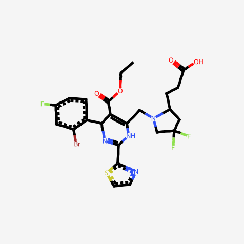 CCOC(=O)C1=C(CN2CC(F)(F)CC2CCC(=O)O)NC(c2nccs2)=NC1c1ccc(F)cc1Br